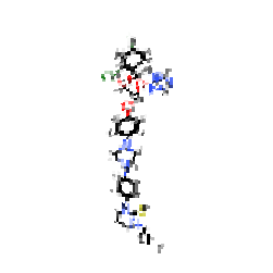 CCN1CCCN(c2ccc(N3CCN(c4ccc(OC[C@@H]5CO[C@@](Cn6cncn6)(c6ccc(Cl)cc6Cl)O5)cc4)CC3)cc2)C1=S